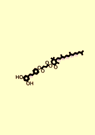 CC(C)=C/C=C/C=C(C)/C=C/C=C(C)/C=C/C1=C(C)C(=O)C(OC(=O)CCC(=O)Oc2ccc(/C=C/c3cc(O)cc(O)c3)cc2)CC1(C)C